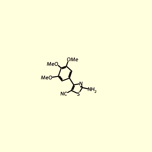 COc1cc(-c2nc(N)sc2C#N)cc(OC)c1OC